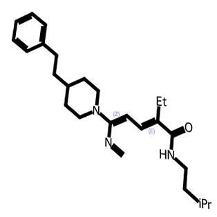 C=N/C(=C\C=C(/CC)C(=O)NCCC(C)C)N1CCC(CCc2ccccc2)CC1